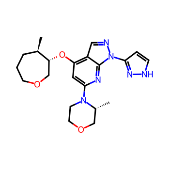 C[C@@H]1CCCOC[C@H]1Oc1cc(N2CCOC[C@H]2C)nc2c1cnn2-c1cc[nH]n1